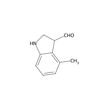 Cc1cccc2c1C(C=O)CN2